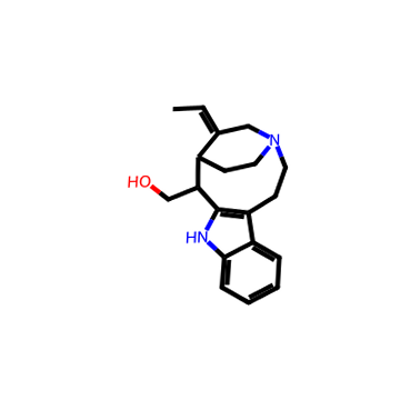 C/C=C1/CN2CCc3c([nH]c4ccccc34)C(CO)C1CC2